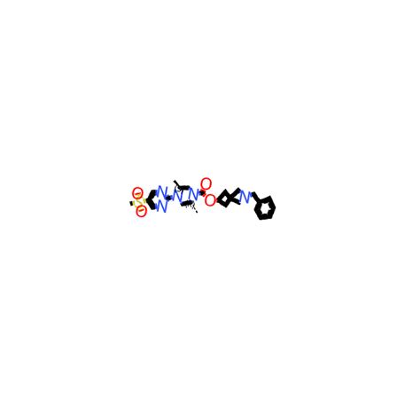 C[C@@H]1CN(c2ncc(S(C)(=O)=O)cn2)[C@@H](C)CN1C(=O)OC1CC2(C1)CN(Cc1ccccc1)C2